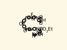 CCOC(=O)c1cnc(Nc2cnn(C)c2)nc1NC1CCC(N2CCN(C(=O)C3CCC(C(=O)N4CCC(CN5CCN(c6ncc(NC7CCC(=O)NC7=O)cc6F)CC5)CC4)CC3)CC2)CC1